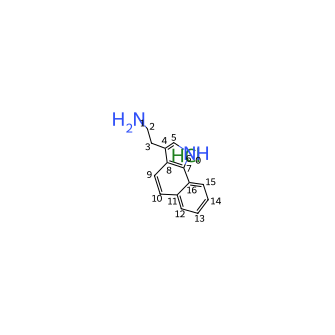 Cl.NCCc1c[nH]c2c1ccc1ccccc12